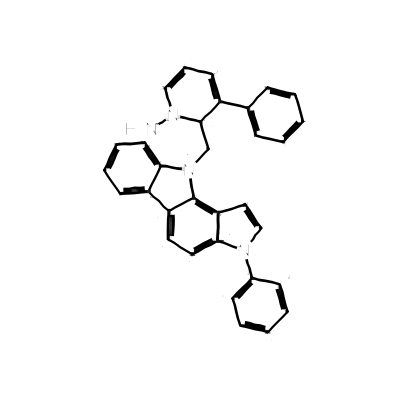 NN1C=CC=C(c2ccccc2)C1Cn1c2ccccc2c2ccc3c(ccn3-c3ccccc3)c21